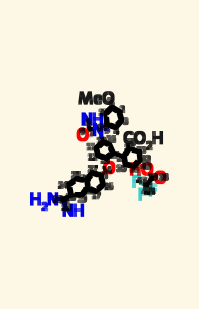 COc1cccc(N(C(N)=O)c2ccc(Oc3ccc4cc(C(=N)N)ccc4c3)c(-c3ccccc3C(=O)O)c2)c1.O=C(O)C(F)(F)F